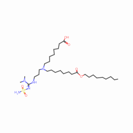 CCCCCCCCCOC(=O)CCCCCCCN(CCCCCCCC(=O)O)CCCN/C(=N/S(N)(=O)=O)N(C)C